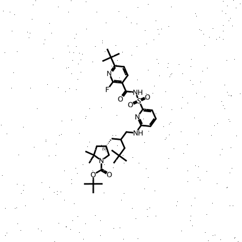 CC(C)(C)CC(CNc1cccc(S(=O)(=O)NC(=O)c2ccc(C(C)(C)C)nc2F)n1)C[C@@H]1CN(C(=O)OC(C)(C)C)C(C)(C)C1